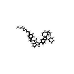 COOC/C=C/c1ccc(NC(=O)C2(NC(=O)c3ccc4c(C5CCCCC5)c5n(c4c3)CCCn3ccnc3-5)CCCC2)cc1